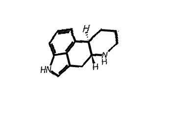 [CH]1CN[C@@H]2Cc3c[nH]c4cccc(c34)[C@H]2C1